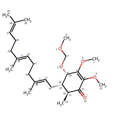 COCO[C@@H]1C(OC)=C(OC)C(=O)[C@@H](C)[C@@H]1C/C=C(\C)CC/C=C(\C)CCC=C(C)C